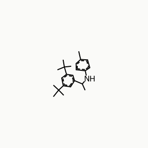 Cc1ccc(NC(C)c2cc(C(C)(C)C)cc(C(C)(C)C)c2)cc1